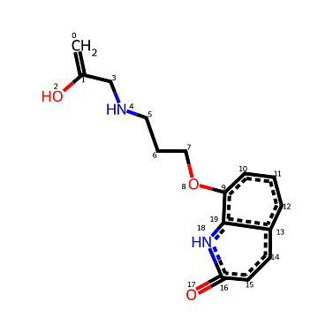 C=C(O)CNCCCOc1cccc2ccc(=O)[nH]c12